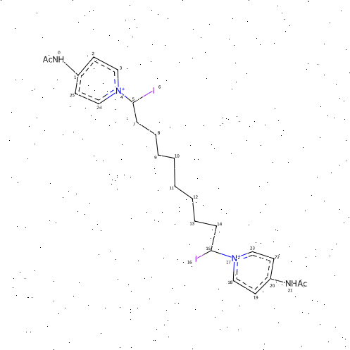 CC(=O)Nc1cc[n+](C(I)CCCCCCCCC(I)[n+]2ccc(NC(C)=O)cc2)cc1